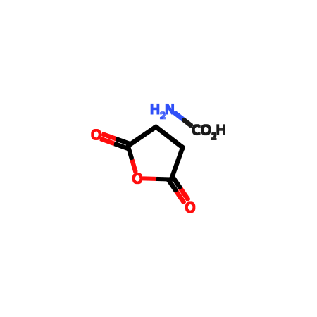 NC(=O)O.O=C1CCC(=O)O1